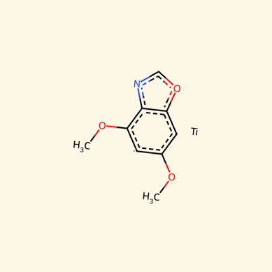 COc1[c]c(OC)c2ncoc2c1.[Ti]